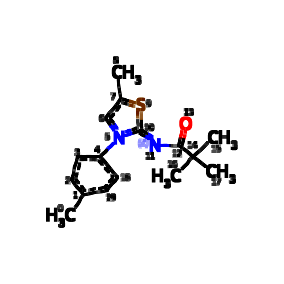 Cc1ccc(-n2cc(C)s/c2=N\C(=O)C(C)(C)C)cc1